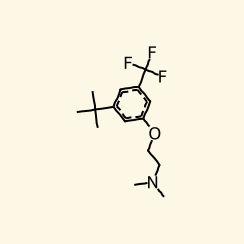 CN(C)CCOc1cc(C(C)(C)C)cc(C(F)(F)F)c1